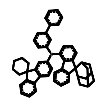 c1ccc(-c2cccc(N(c3ccc4c(c3)C3(CCCCC3)c3ccccc3-4)c3cccc4c3-c3ccccc3C43C4CC5CC(C4)CC3C5)c2)cc1